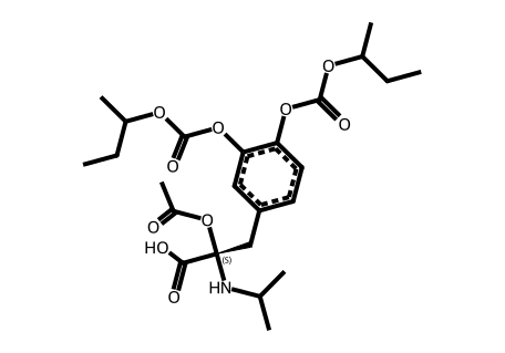 CCC(C)OC(=O)Oc1ccc(C[C@](NC(C)C)(OC(C)=O)C(=O)O)cc1OC(=O)OC(C)CC